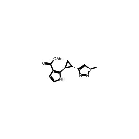 COC(=O)c1cc[nH]c1[C@H]1C[C@@H]1c1cn(C)nn1